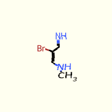 CN/C=C(/Br)C=N